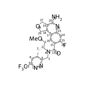 COC[C@@H](C)N(Cc1ccc(C(F)(F)F)nn1)C(=O)c1cc2c3c(c(N)nc2cc1F)COC3